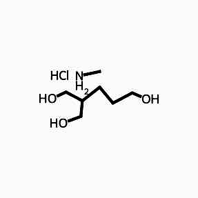 CN.Cl.OCCCC(CO)CO